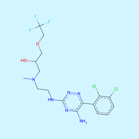 CN(CCNc1nnc(-c2cccc(Cl)c2Cl)c(N)n1)CC(O)COCC(F)(F)F